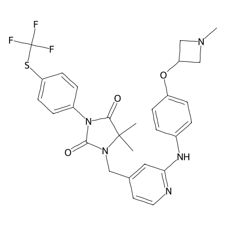 CN1CC(Oc2ccc(Nc3cc(CN4C(=O)N(c5ccc(SC(F)(F)F)cc5)C(=O)C4(C)C)ccn3)cc2)C1